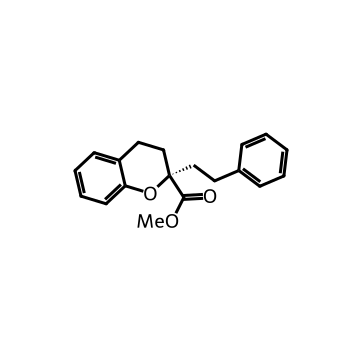 COC(=O)[C@]1(CCc2ccccc2)CCc2ccccc2O1